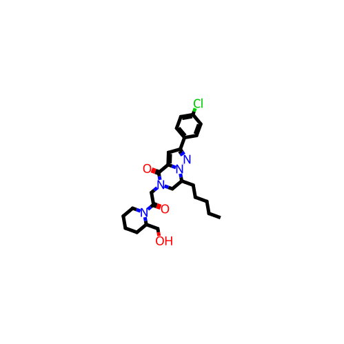 CCCCCC1CN(CC(=O)N2CCCCC2CO)C(=O)c2cc(-c3ccc(Cl)cc3)nn21